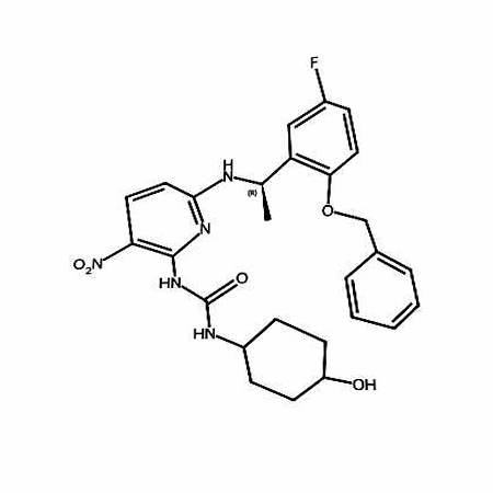 C[C@@H](Nc1ccc([N+](=O)[O-])c(NC(=O)NC2CCC(O)CC2)n1)c1cc(F)ccc1OCc1ccccc1